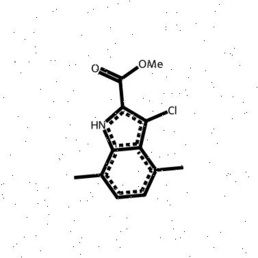 COC(=O)c1[nH]c2c(C)ccc(C)c2c1Cl